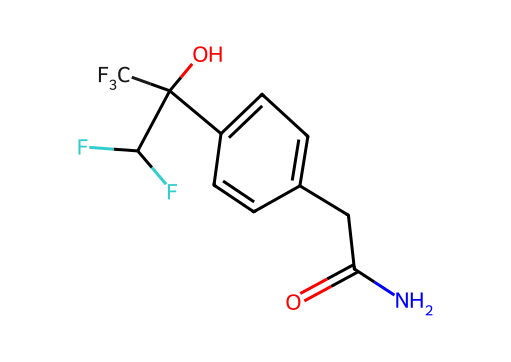 NC(=O)Cc1ccc(C(O)(C(F)F)C(F)(F)F)cc1